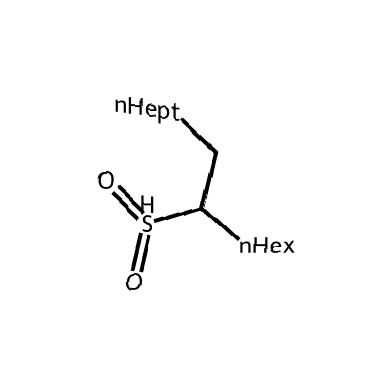 CCCCCCCCC(CCCCCC)[SH](=O)=O